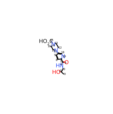 CC(O)CNC(=O)c1ccc(N2CCN(C(=O)O)CC2)cn1